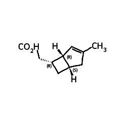 CC1=C[C@@H]2[C@H](C1)C[C@@H]2CC(=O)O